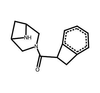 O=C(C1Cc2ccccc21)N1CC2CC(C1)N2